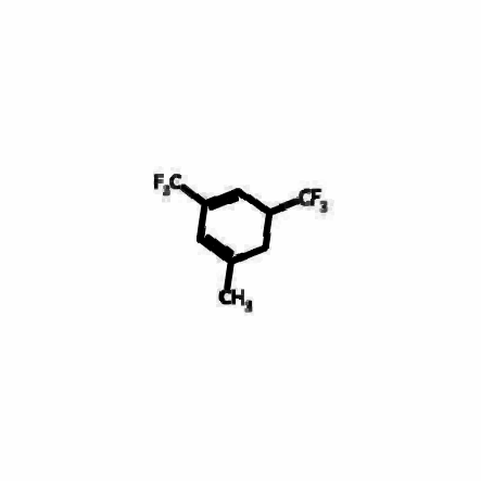 CC1=CC(C(F)(F)F)=CC(C(F)(F)F)C1